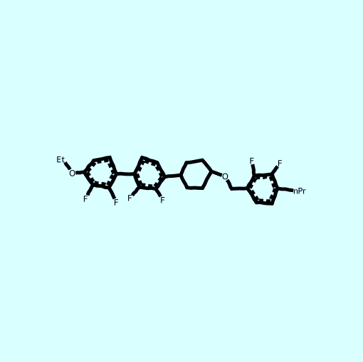 CCCc1ccc(COC2CCC(c3ccc(-c4ccc(OCC)c(F)c4F)c(F)c3F)CC2)c(F)c1F